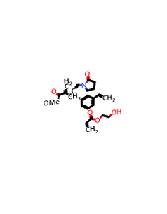 C=C(C)C(=O)OC.C=CC(=O)OCCO.C=CN1CCCC1=O.C=Cc1ccccc1